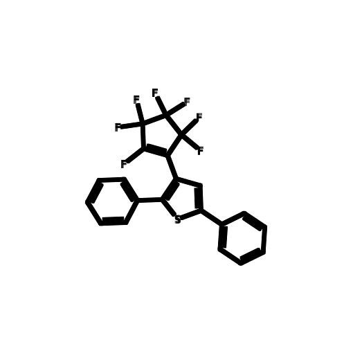 FC1=C(c2cc(-c3ccccc3)sc2-c2ccccc2)C(F)(F)C(F)(F)C1(F)F